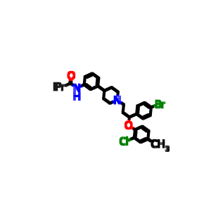 Cc1ccc(OC(CCN2CCC(c3cccc(NC(=O)C(C)C)c3)CC2)c2ccc(Br)cc2)c(Cl)c1